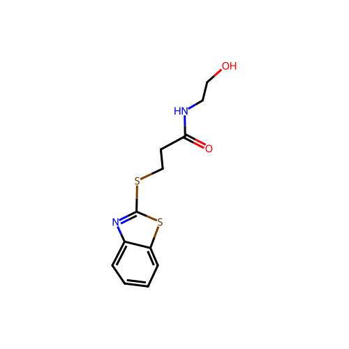 O=C(CCSc1nc2ccccc2s1)NCCO